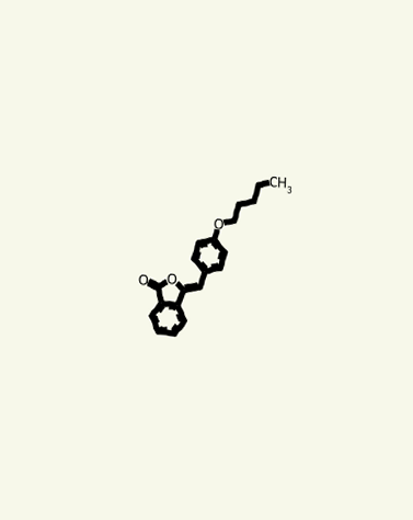 CCCCCOc1ccc(C=C2OC(=O)c3ccccc32)cc1